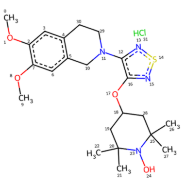 COc1cc2c(cc1OC)CN(c1nsnc1OC1CC(C)(C)N(O)C(C)(C)C1)CC2.Cl